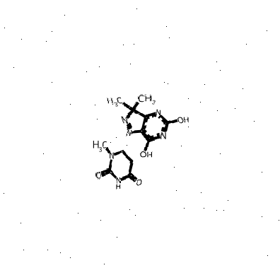 CC1(C)N=Nc2c(O)nc(O)nc21.CN1CCC(=O)NC1=O